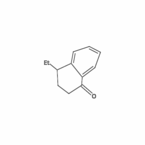 CCC1CCC(=O)c2ccccc21